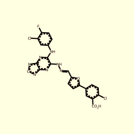 O=C(O)c1cc(-c2ccc(C=NNc3nc4nonc4nc3Nc3ccc(F)c(Cl)c3)o2)ccc1Cl